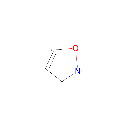 [C]1=CC[N]O1